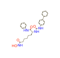 O=C(CCCCC[C@H](NC(=O)Nc1ccc(-c2ccccc2)cc1)C(=O)Nc1ccccc1)NO